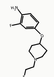 Nc1ccc(OC2CCN(CCF)CC2)cc1F